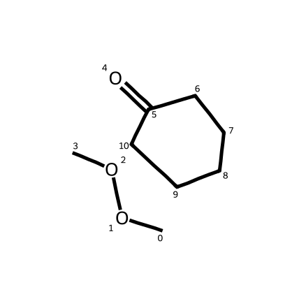 COOC.O=C1CCCCC1